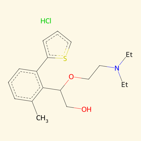 CCN(CC)CCOC(CO)c1c(C)cccc1-c1cccs1.Cl